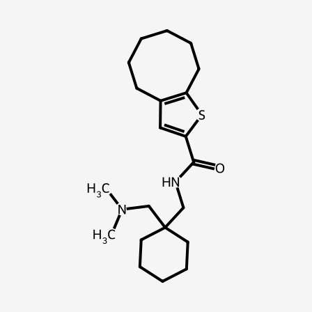 CN(C)CC1(CNC(=O)c2cc3c(s2)CCCCCC3)CCCCC1